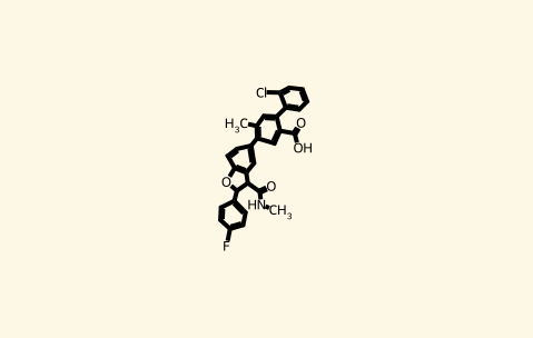 CNC(=O)C1c2cc(-c3cc(C(=O)O)c(-c4ccccc4Cl)cc3C)ccc2OC1c1ccc(F)cc1